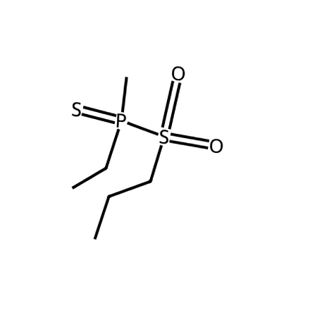 CCCS(=O)(=O)P(C)(=S)CC